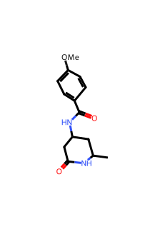 COc1ccc(C(=O)NC2CC(=O)NC(C)C2)cc1